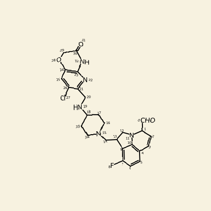 O=CC1C=Cc2ccc(F)c3c2N1CC3CN1CCC(NCc2nc3c(cc2Cl)OCC(=O)N3)CC1